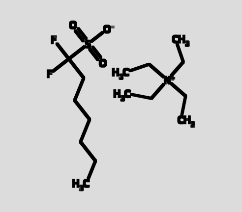 CCCCCCC(F)(F)S(=O)(=O)[O-].CC[N+](CC)(CC)CC